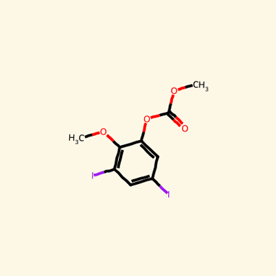 COC(=O)Oc1cc(I)cc(I)c1OC